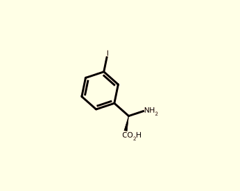 N[C@@H](C(=O)O)c1cccc(I)c1